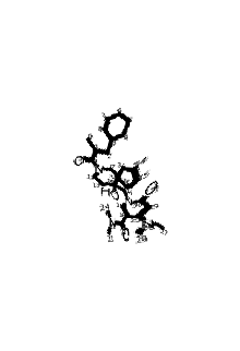 CC(CC1CCCCC1)C(=O)N1CCC(O)(Cn2cc(C(=O)N(C)C)c(N(C)C)cc2=O)C2(CCCC2)C1